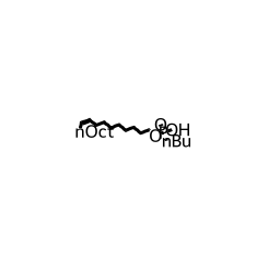 CCCCCCCC/C=C\CCCCCCCCOP(=O)(O)CCCC